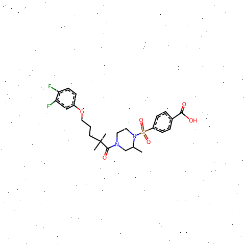 CC1CN(C(=O)C(C)(C)CCCOc2ccc(F)c(F)c2)CCN1S(=O)(=O)c1ccc(C(=O)O)cc1